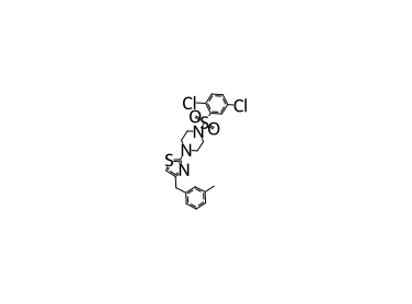 Cc1cccc(Cc2csc(N3CCN(S(=O)(=O)c4cc(Cl)ccc4Cl)CC3)n2)c1